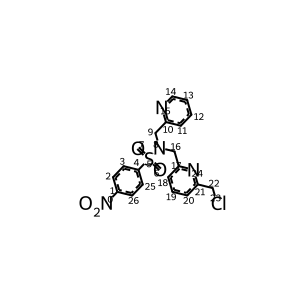 O=[N+]([O-])c1ccc(S(=O)(=O)N(Cc2ccccn2)Cc2cccc(CCl)n2)cc1